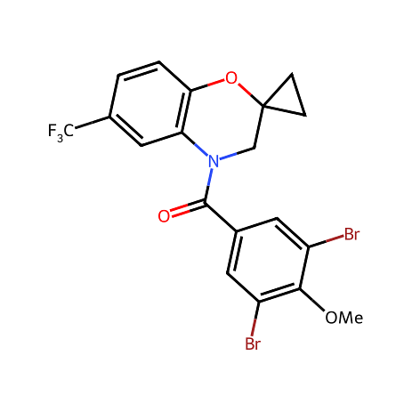 COc1c(Br)cc(C(=O)N2CC3(CC3)Oc3ccc(C(F)(F)F)cc32)cc1Br